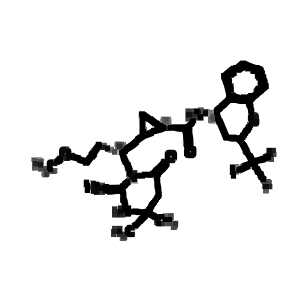 COCC[C@H](C1C[C@H]1C(=O)N[C@H]1CC(C(F)(F)F)Oc2ccccc21)N1C(=N)NC(C)(C)CC1=O